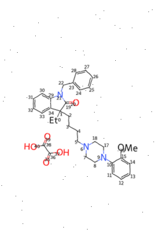 CCC1(CCCCN2CCN(c3ccccc3OC)CC2)C(=O)N(Cc2ccccc2)c2ccccc21.O=C(O)C(=O)O